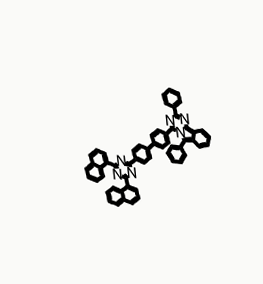 c1ccc(-c2nc(-c3ccc(-c4ccc(-c5nc(-c6cccc7ccccc67)nc(-c6cccc7ccccc67)n5)cc4)cc3)n3c(-c4ccccc4)c4ccccc4c3n2)cc1